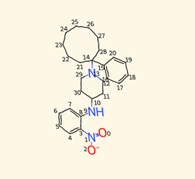 O=[N+]([O-])c1ccccc1NC1CCN(C2(c3ccccc3)CCCCCCCC2)CC1